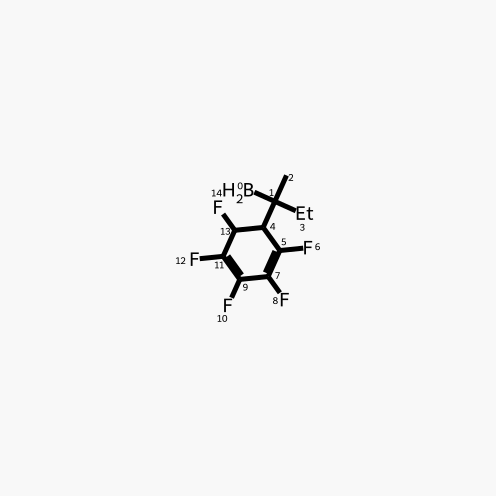 BC(C)(CC)C1C(F)=C(F)C(F)=C(F)C1F